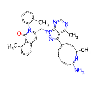 Cc1ccccc1-n1c(Cn2nc(C3=C/C/C=C\C(N)=N/C(C)/C=C\3)c3c(C)ncnc32)cc2cccc(C)c2c1=O